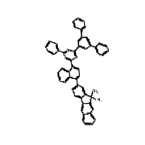 CC1(C)c2cc(-c3ccc(-c4cc(-c5cc(-c6ccccc6)cc(-c6ccccc6)c5)nc(-c5ccccc5)n4)c4ccccc34)ccc2-c2cc3ccccc3cc21